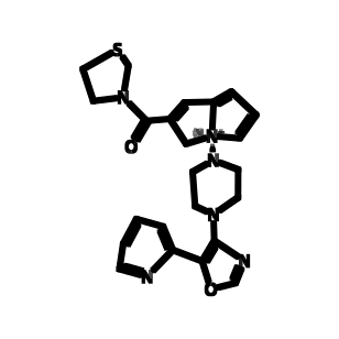 O=C(C1=CC2=CC=C[N@@+]2(N2CCN(c3ncoc3-c3ccccn3)CC2)C1)N1CCSC1